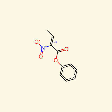 C/C=C(/C(=O)Oc1ccccc1)[N+](=O)[O-]